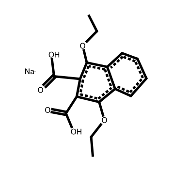 CCOc1c(C(=O)O)c(C(=O)O)c(OCC)c2ccccc12.[Na]